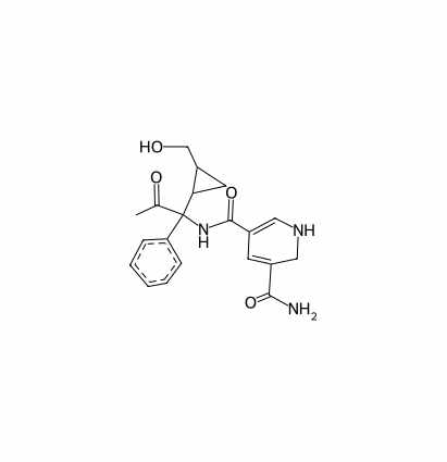 CC(=O)C(NC(=O)C1=CNCC(C(N)=O)=C1)(c1ccccc1)C1CC1CO